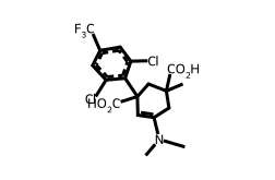 CN(C)C1=CC(C(=O)O)(c2c(Cl)cc(C(F)(F)F)cc2Cl)CC(C)(C(=O)O)C1